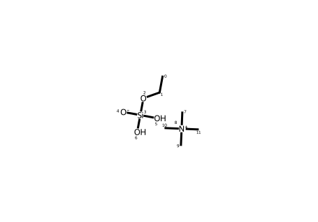 CCO[Si]([O-])(O)O.C[N+](C)(C)C